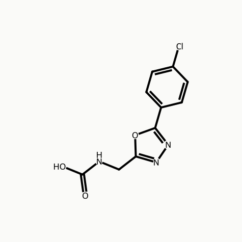 O=C(O)NCc1nnc(-c2ccc(Cl)cc2)o1